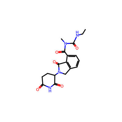 CCNC(=O)N(C)C(=O)c1cccc2c1C(=O)N(C1CCC(=O)NC1=O)C2